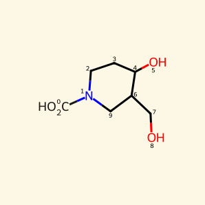 O=C(O)N1CCC(O)C(CO)C1